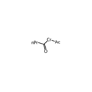 CCC[C](=O)[Cr][C](C)=O